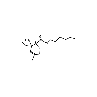 CCCCCCOC(=O)C1(C)C=CC(C)=CC1(N)CC